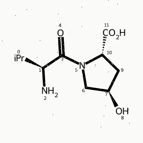 CC(C)[C@H](N)C(=O)N1C[C@H](O)C[C@H]1C(=O)O